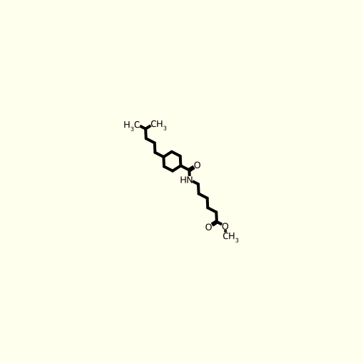 COC(=O)CCCCCNC(=O)C1CCC(CCCC(C)C)CC1